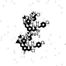 COc1ccc(CNc2nc3cc(CC(C)[C@@]45C[C@@H]4[C@@H](n4ccc6c(Cl)ncnc64)[C@@H]4OC(C)(C)O[C@@H]45)ccc3cc2Br)cc1.COc1ccc(CNc2nc3cc(CC(C4CC4)[C@@]45C[C@@H]4[C@@H](n4ccc6c(N)ncnc64)[C@@H]4OC(C)(C)O[C@@H]45)cc(F)c3cc2Cl)cc1